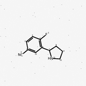 N#Cc1ccc(F)c(C2CCCN2)c1